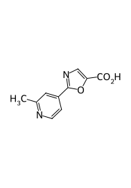 Cc1cc(-c2ncc(C(=O)O)o2)ccn1